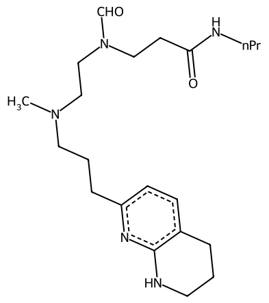 CCCNC(=O)CCN(C=O)CCN(C)CCCc1ccc2c(n1)NCCC2